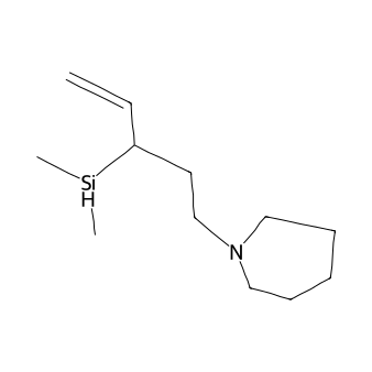 C=CC(CCN1CCCCC1)[SiH](C)C